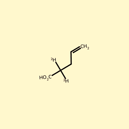 [2H]C([2H])(CC=C)C(=O)O